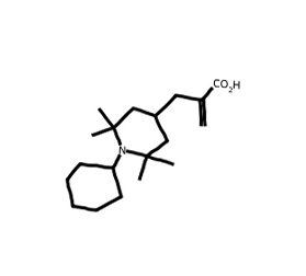 C=C(CC1CC(C)(C)N(C2CCCCC2)C(C)(C)C1)C(=O)O